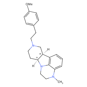 COc1ccc(CCN2CC[C@H]3[C@@H](C2)c2cccc4c2N3CCN4C)cc1